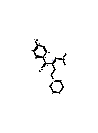 CN(C)/C=C(\CCN1CCCCC1)C(=O)c1ccc(F)cc1